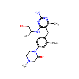 CCCC(CO)Nc1nc(N)nc(C)c1Cc1ccc(N2CCN(C)CC2=O)cc1OC